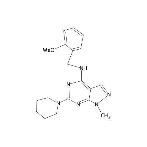 COc1ccccc1CNc1nc(N2CCCCC2)nc2c1cnn2C